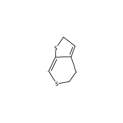 [C]1=C2SCC=C2CCS1